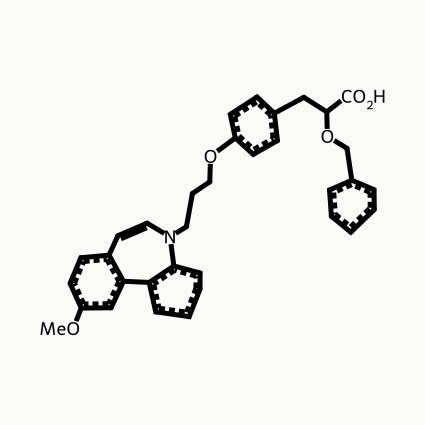 COc1ccc2c(c1)-c1ccccc1N(CCCOc1ccc(CC(OCc3ccccc3)C(=O)O)cc1)C=C2